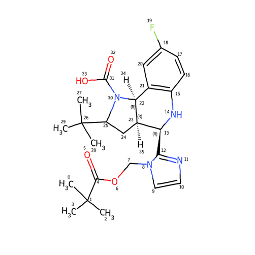 CC(C)(C)C(=O)OCn1ccnc1[C@@H]1Nc2ccc(F)cc2[C@H]2[C@@H]1CC(C(C)(C)C)N2C(=O)O